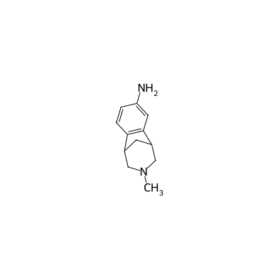 CN1CC2CC(C1)c1cc(N)ccc12